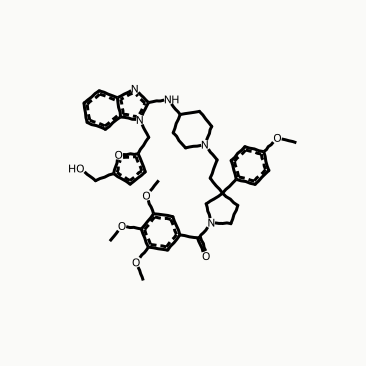 COc1ccc(C2(CCN3CCC(Nc4nc5ccccc5n4Cc4ccc(CO)o4)CC3)CCN(C(=O)c3cc(OC)c(OC)c(OC)c3)C2)cc1